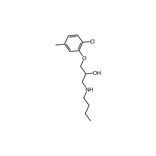 CCCCNCC(O)COc1cc(C)ccc1Cl